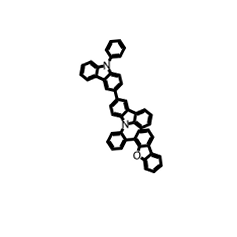 c1ccc(-n2c3ccccc3c3cc(-c4ccc5c(c4)c4ccccc4n5-c4ccccc4-c4cccc5c4oc4ccccc45)ccc32)cc1